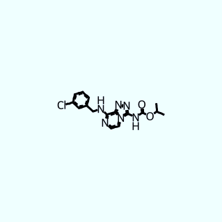 CC(C)OC(=O)Nc1nnc2c(NCc3cccc(Cl)c3)nccn12